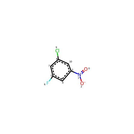 O=[N+]([O-])c1cc(F)[c]c(Cl)c1